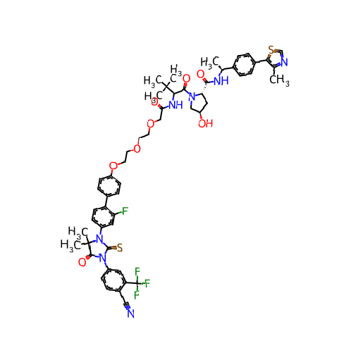 Cc1ncsc1-c1ccc([C@H](C)NC(=O)[C@@H]2C[C@@H](O)CN2C(=O)C(NC(=O)COCCOCCOc2ccc(-c3ccc(N4C(=S)N(c5ccc(C#N)c(C(F)(F)F)c5)C(=O)C4(C)C)cc3F)cc2)C(C)(C)C)cc1